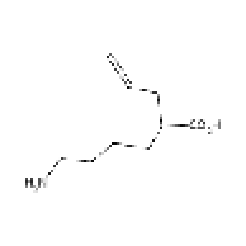 C=CCC(CCCCN)C(=O)O